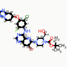 CC(C)(C)OC(=O)N1CCN(c2nc3c(Nc4cc(Cl)c(Oc5ccn6ncnc6c5)cc4F)ncnc3cc2Br)C[C@H]1CO